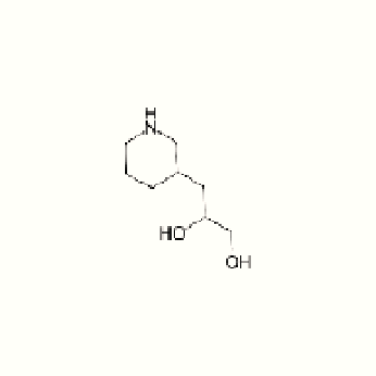 OCC(O)CC1CCCNC1